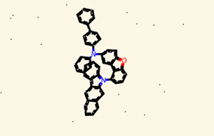 c1ccc(-c2ccc(N(c3ccccc3)c3ccc4oc5cccc(-n6c7ccccc7c7cc8ccccc8cc76)c5c4c3)cc2)cc1